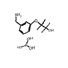 CC(C)(O)C(C)(C)Oc1cccc(CN)c1.OB(O)O